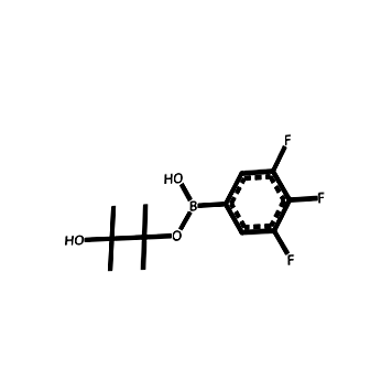 CC(C)(O)C(C)(C)OB(O)c1cc(F)c(F)c(F)c1